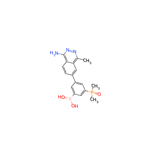 Cc1nnc(N)c2ccc(-c3cc(B(O)O)cc(P(C)(C)=O)c3)cc12